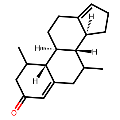 CC1CC2=CC(=O)CC(C)[C@@H]2[C@H]2CCC3=CCC[C@H]3[C@H]12